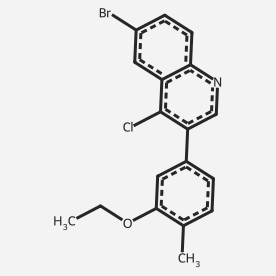 CCOc1cc(-c2cnc3ccc(Br)cc3c2Cl)ccc1C